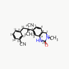 CN1Cc2ccc([C@](C)(C#N)Cc3cccc(C#N)c3)cc2NC1=O